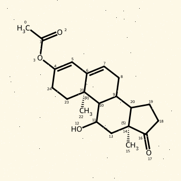 CC(=O)OC1=CC2=CCC3C(C(O)C[C@]4(C)C(=O)CCC34)[C@@]2(C)CC1